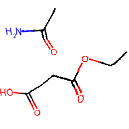 CC(N)=O.CCOC(=O)CC(=O)O